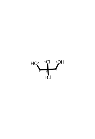 OCC(Cl)(Cl)CO